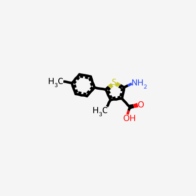 Cc1ccc(-c2sc(N)c(C(=O)O)c2C)cc1